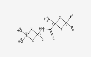 CC1(NC(=O)C2(N)CC(F)(F)C2)CS(O)(O)C1